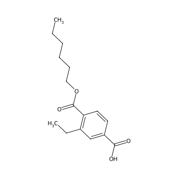 CCCCCCOC(=O)c1ccc(C(=O)O)cc1CC